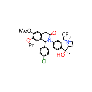 COc1cc2c(cc1OC(C)C)C(c1ccc(Cl)cc1)N(c1ccc([C@](C)(O)C3CCN3CC(F)(F)F)cc1)C(=O)C2